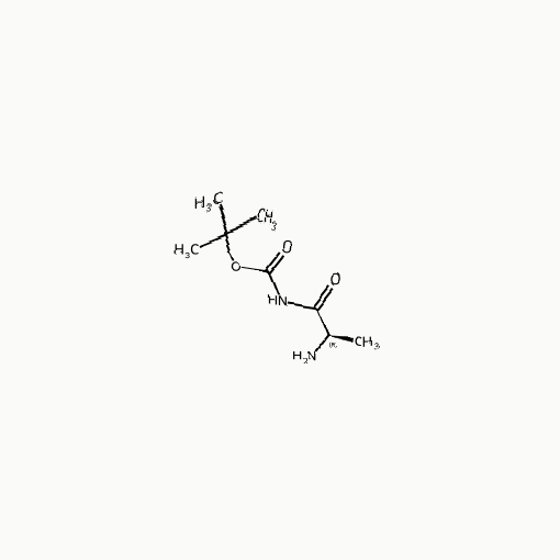 C[C@@H](N)C(=O)NC(=O)OC(C)(C)C